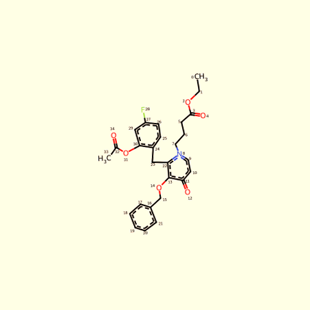 CCOC(=O)CCCn1ccc(=O)c(OCc2ccccc2)c1Cc1ccc(F)cc1OC(C)=O